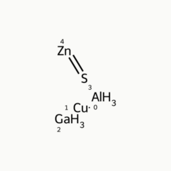 [AlH3].[Cu].[GaH3].[S]=[Zn]